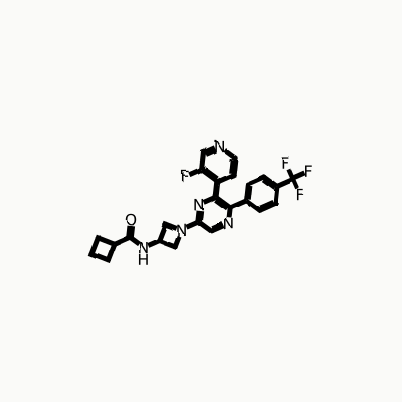 O=C(NC1CN(c2cnc(-c3ccc(C(F)(F)F)cc3)c(-c3ccncc3F)n2)C1)C1CCC1